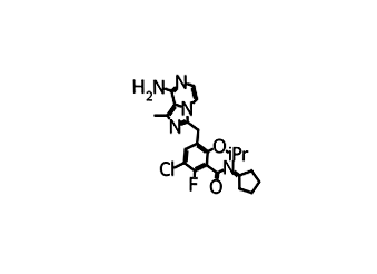 Cc1nc(Cc2cc(Cl)c(F)c(C(=O)N=C3CCCC3)c2OC(C)C)n2ccnc(N)c12